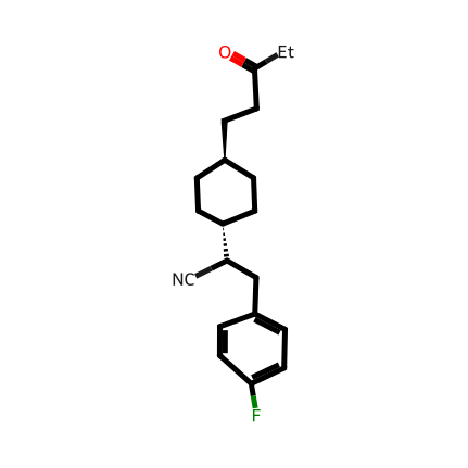 CCC(=O)CC[C@H]1CC[C@H](C(C#N)Cc2ccc(F)cc2)CC1